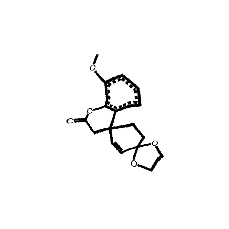 COc1cccc2c1OC(=O)CC21C=CC2(CC1)OCCO2